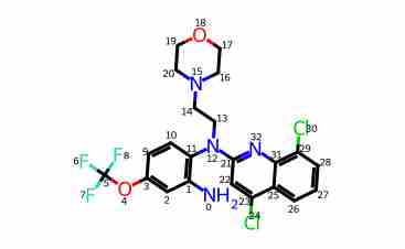 Nc1cc(OC(F)(F)F)ccc1N(CCN1CCOCC1)c1cc(Cl)c2cccc(Cl)c2n1